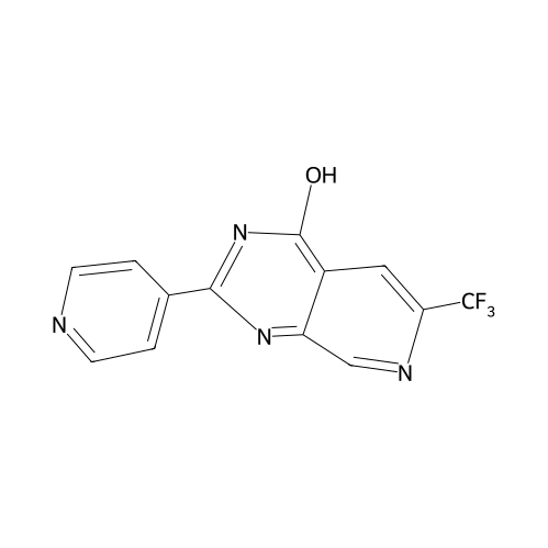 Oc1nc(-c2ccncc2)nc2cnc(C(F)(F)F)cc12